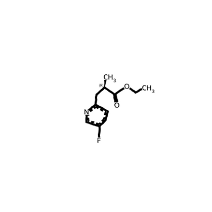 CCOC(=O)[C@H](C)Cc1ccc(F)cn1